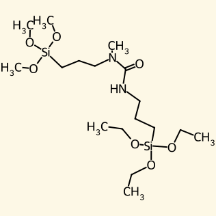 CCO[Si](CCCNC(=O)N(C)CCC[Si](OC)(OC)OC)(OCC)OCC